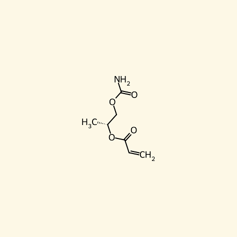 C=CC(=O)O[C@H](C)COC(N)=O